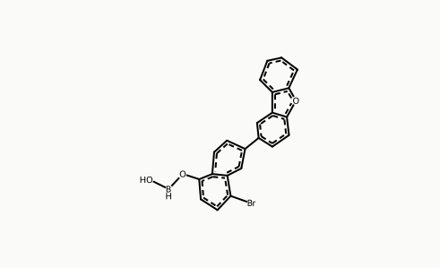 OBOc1ccc(Br)c2cc(-c3ccc4oc5ccccc5c4c3)ccc12